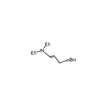 CCCCCC=CN(CC)CC